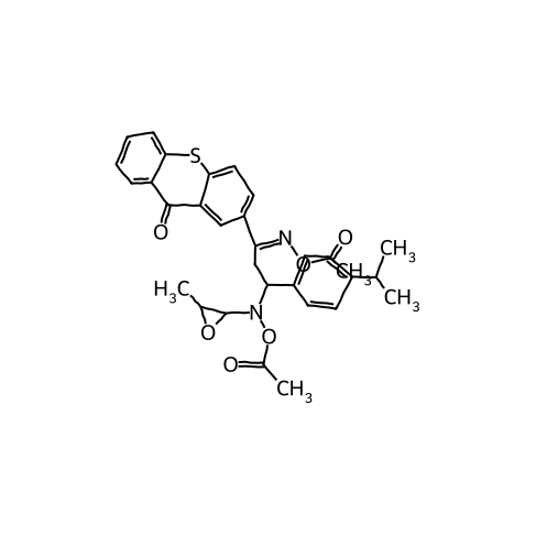 CC(=O)O/N=C(\CC(c1ccc(C(C)C)cc1)N(OC(C)=O)C1OC1C)c1ccc2sc3ccccc3c(=O)c2c1